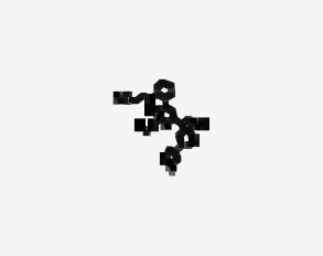 Cn1cc(-c2cnc3[nH]cc(-c4cc(-c5ccccc5NCCC#N)nc(N)n4)c3c2)cn1